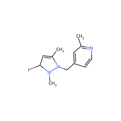 CC1=CC(I)N(C)N1Cc1ccnc(C)c1